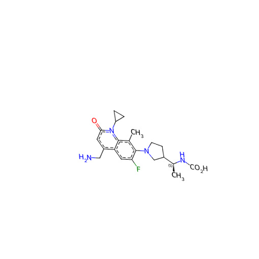 Cc1c(N2CCC([C@H](C)NC(=O)O)C2)c(F)cc2c(CN)cc(=O)n(C3CC3)c12